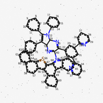 c1ccc(C2=C(c3ccccc3)N(c3ccccc3)C3N=C(c4cc(-c5ccccn5)cc(-c5ccccn5)c4)C(n4c5ccccc5c5c6ccccc6c6c7ccc8ccccc8c7sc6c54)=NC23)cc1